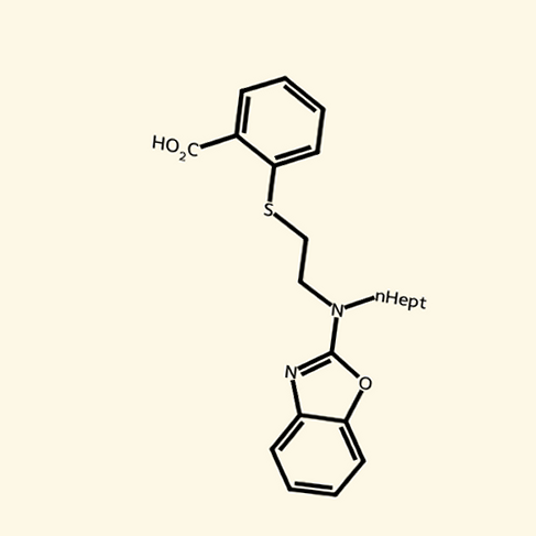 CCCCCCCN(CCSc1ccccc1C(=O)O)c1nc2ccccc2o1